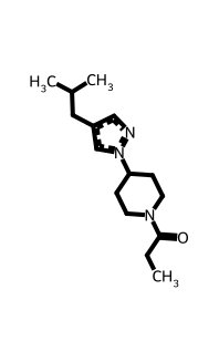 CCC(=O)N1CCC(n2cc(CC(C)C)cn2)CC1